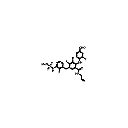 C=CCNC(=O)c1cc(Cc2ccnc(NS(=O)(=O)NC)c2F)c(F)c(F)c1Nc1ccc(C=O)cc1F